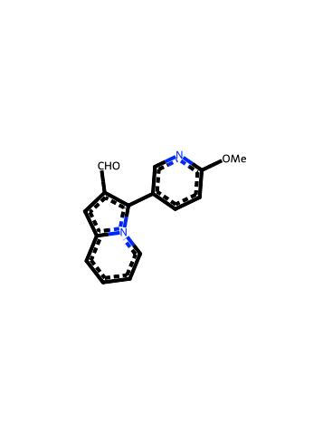 COc1ccc(-c2c(C=O)cc3ccccn23)cn1